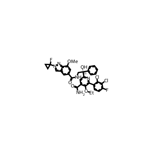 CCOc1c(C(N)=O)cc([C@@](O)(CNC(=O)c2cc(OC)c3nn(C4(F)CC4)cc3c2)c2ccccc2)nc1-c1ccc(F)c(Cl)c1Cl